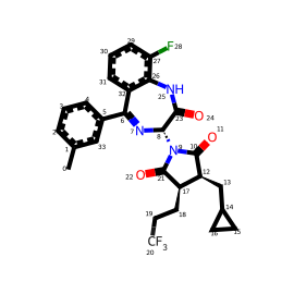 Cc1cccc(C2=N[C@@H](N3C(=O)[C@@H](CC4CC4)[C@@H](CCC(F)(F)F)C3=O)C(=O)Nc3c(F)cccc32)c1